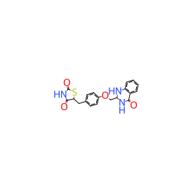 O=C1NC(=O)C(Cc2ccc(OCC3NC(=O)c4ccccc4N3)cc2)S1